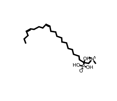 CCC/C=C\CCC/C=C\CCCCCCCCCCCC(O)(C[N+](C)(C)C)P(=O)(O)O